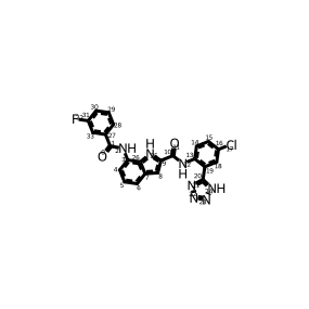 O=C(Nc1cccc2cc(C(=O)Nc3ccc(Cl)cc3-c3nnn[nH]3)[nH]c12)c1cccc(F)c1